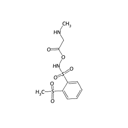 CNCC(=O)ONS(=O)(=O)c1ccccc1S(C)(=O)=O